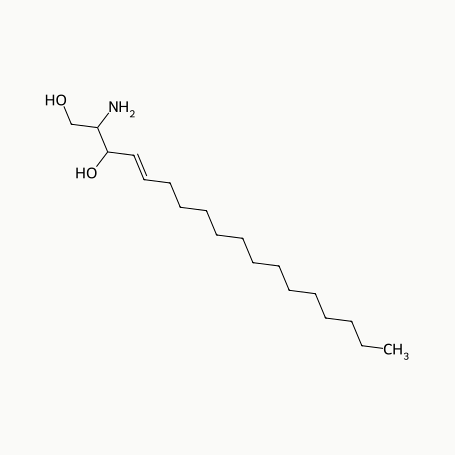 CCCCCCCCCCCCCC=CC(O)C(N)CO